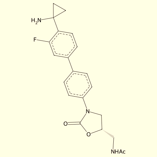 CC(=O)NC[C@H]1CN(c2ccc(-c3ccc(C4(N)CC4)c(F)c3)cc2)C(=O)O1